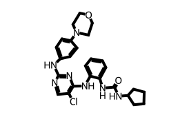 O=C(Nc1ccccc1Nc1nc(Nc2ccc(N3CCOCC3)cc2)ncc1Cl)NC1CCCC1